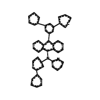 c1ccc(-c2cc(-c3ccccc3)cc(-c3c4ccccc4c(N(c4cccc(-c5ccccc5)c4)c4ccccn4)c4ccccc34)c2)cc1